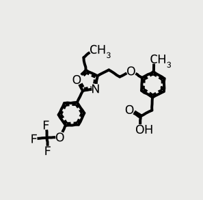 CCc1oc(-c2ccc(OC(F)(F)F)cc2)nc1CCOc1cc(CC(=O)O)ccc1C